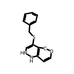 C1=CC2=C(CO1)C(SCc1ccccc1)=CNN2